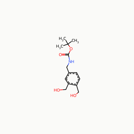 CC(C)(C)OC(=O)NCc1ccc(CO)c(CO)c1